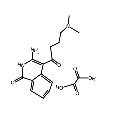 CN(C)CCCC(=O)c1c(N)[nH]c(=O)c2ccccc12.O=C(O)C(=O)O